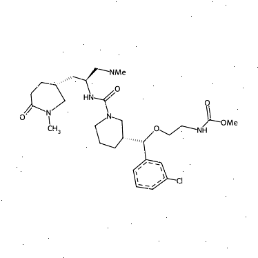 CNC[C@H](C[C@H]1CCC(=O)N(C)C1)NC(=O)N1CCC[C@@H](C(OCCNC(=O)OC)c2cccc(Cl)c2)C1